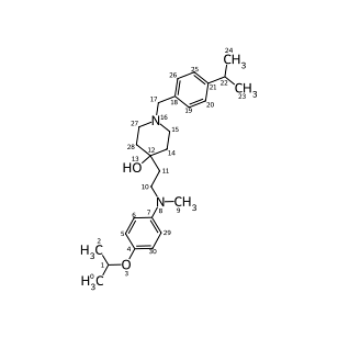 CC(C)Oc1ccc(N(C)CCC2(O)CCN(Cc3ccc(C(C)C)cc3)CC2)cc1